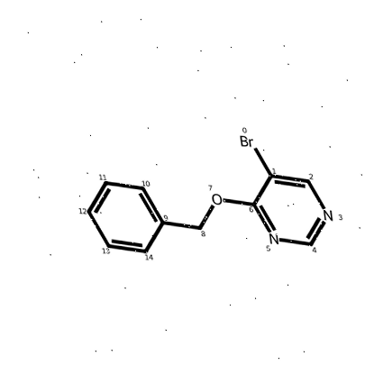 Brc1cncnc1OCc1ccccc1